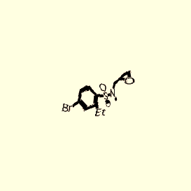 CCc1cc(Br)ccc1S(=O)(=O)N(C)CC1CO1